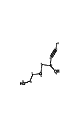 CC#CC(O)COCCO